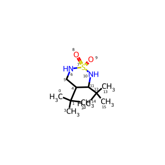 CC(C)(C)C1CNS(=O)(=O)NC1C(C)(C)C